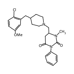 COc1ccc(Cl)c(CC2CCN(CC3CC(=O)N(c4ccccc4)C(=O)N3C)CC2)c1